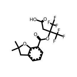 CC1(C)Cc2cccc(C(=O)OC(CC(=O)O)(C(F)(F)F)C(F)(F)F)c2O1